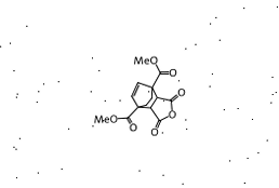 COC(=O)C12C=CC(C(=O)OC)(CC1)C1C(=O)OC(=O)C12